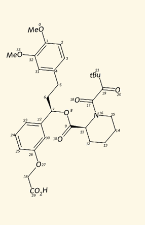 COc1ccc(CC[C@@H](OC(=O)[C@@H]2CCCCN2C(=O)C(=O)C(C)(C)C)c2cccc(OCC(=O)O)c2)cc1OC